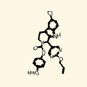 C=CCOc1ncc(C2c3[nH]c4ccc(Cl)cc4c3CCN2C(=O)Oc2ccc(OC)cc2)cn1